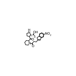 O=C(C1CCN[C@@H]1C(O)=S)C1CCCCN1C(=O)CCC1=Cc2cc([N+](=O)[O-])ccc2C1